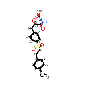 Cc1ccc(CCS(=O)(=O)c2ccc(CC3OC(=O)NC3=O)cc2)cc1